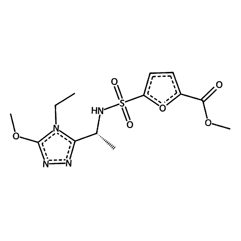 CCn1c(OC)nnc1[C@@H](C)NS(=O)(=O)c1ccc(C(=O)OC)o1